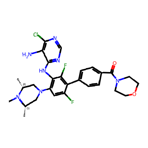 C[C@@H]1CN(c2cc(F)c(-c3ccc(C(=O)N4CCOCC4)cc3)c(F)c2Nc2ncnc(Cl)c2N)C[C@H](C)N1C